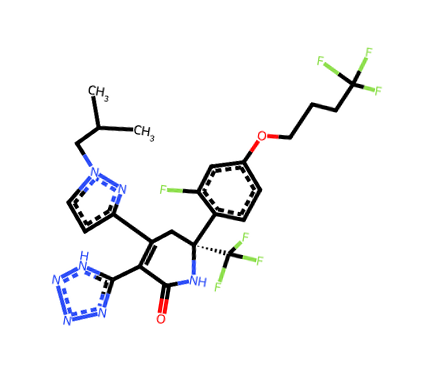 CC(C)Cn1ccc(C2=C(c3nnn[nH]3)C(=O)N[C@@](c3ccc(OCCCC(F)(F)F)cc3F)(C(F)(F)F)C2)n1